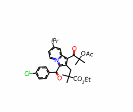 CCOC(=O)C(C)(C)Cc1c(C(=O)C(C)(C)OC(C)=O)c2cc(C(C)C)ccn2c1C(=O)c1ccc(Cl)cc1